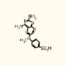 CN(c1ccc(S(=O)(=O)O)cc1)c1cnc2nc(N)nc(N)c2n1